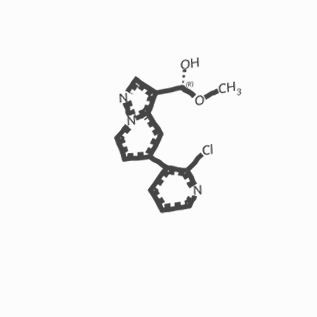 CO[C@@H](O)c1cnn2ccc(-c3cccnc3Cl)cc12